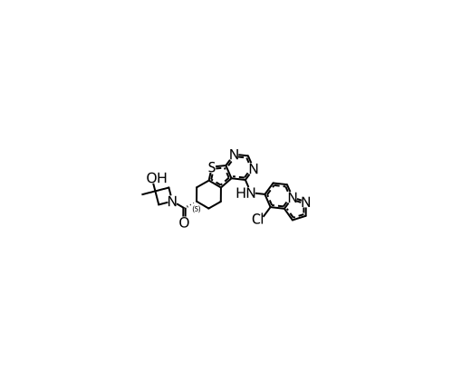 CC1(O)CN(C(=O)[C@H]2CCc3c(sc4ncnc(Nc5ccn6nccc6c5Cl)c34)C2)C1